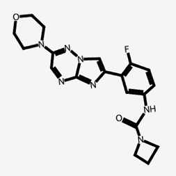 O=C(Nc1ccc(F)c(-c2cn3nc(N4CCOCC4)cnc3n2)c1)N1CCC1